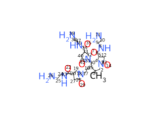 CC(CN1CC(C(=O)NCCN)CC1=O)C(CCN1CC(C(=O)NCCN)CC1=O)CN1CC(C(=O)NCCN)CC1=O